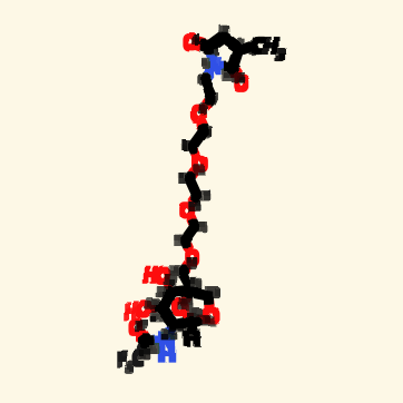 CC1CC(=O)N(CCOCCOCCOCCOC[C@@]23CO[C@@H](O2)[C@@H](NC(=O)C(F)(F)F)[C@@H](O)[C@H]3O)C1=O